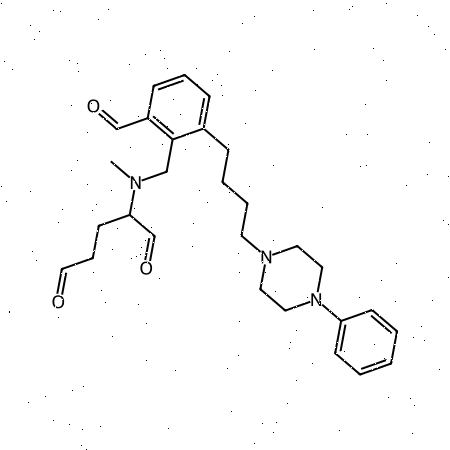 CN(Cc1c(C=O)cccc1CCCCN1CCN(c2ccccc2)CC1)C(C=O)CCC=O